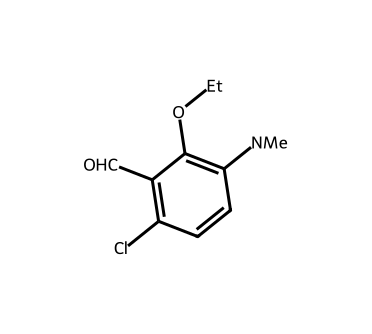 CCOc1c(NC)ccc(Cl)c1C=O